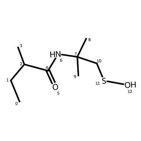 CCC(C)C(=O)NC(C)(C)CSO